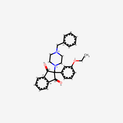 CCOc1cccc(C2(N3CCN(Cc4ccccc4)CC3)C(=O)c3ccccc3C2=O)c1